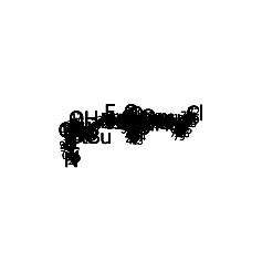 Cc1ncsc1-c1ccc(CNC(=O)[C@@H]2C[C@@H](O)CN2C(=O)[C@@H](NC(=O)CCCCCN2CCN(CC[C@H](CSc3ccccc3)Nc3ccc(S(=O)(=O)NC(=O)c4ccc(N5CCN(CC6=C(c7ccc(Cl)cc7)CCC(C)(C)C6)CC5)cc4)cc3S(=O)(=O)C(F)(F)F)CC2)C(C)(C)C)cc1